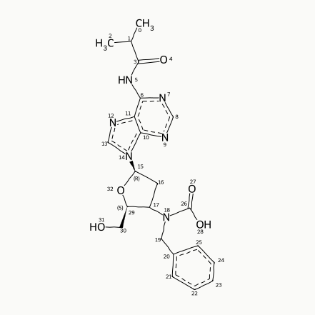 CC(C)C(=O)Nc1ncnc2c1ncn2[C@H]1CC(N(Cc2ccccc2)C(=O)O)[C@@H](CO)O1